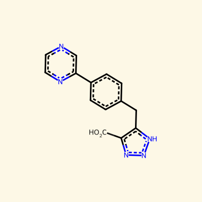 O=C(O)c1nn[nH]c1Cc1ccc(-c2cnccn2)cc1